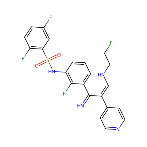 N=C(/C(=C\NCCF)c1ccncc1)c1cccc(NS(=O)(=O)c2cc(F)ccc2F)c1F